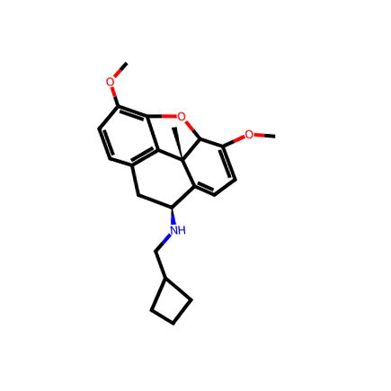 COC1=CC=C2[C@@H](NCC3CCC3)Cc3ccc(OC)c4c3[C@]2(C)C1O4